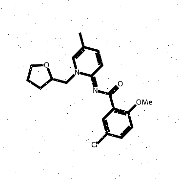 COc1ccc(Cl)cc1C(=O)N=c1ccc(C)cn1CC1CCCO1